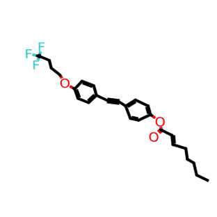 CCCCCC=CC(=O)Oc1ccc(C#Cc2ccc(OCCCC(F)(F)F)cc2)cc1